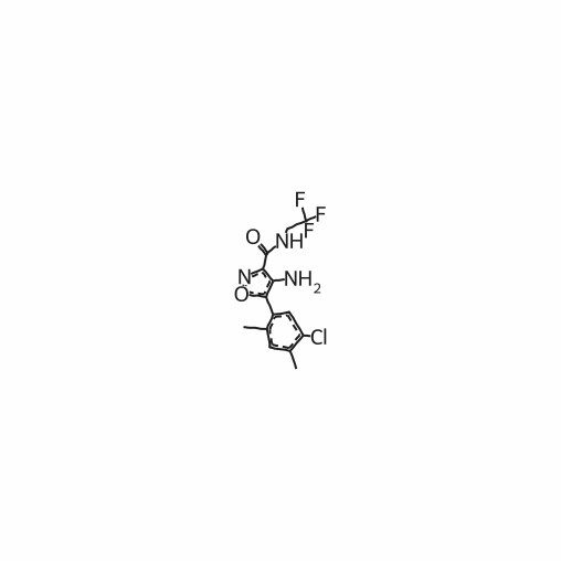 Cc1cc(C)c(-c2onc(C(=O)NCC(F)(F)F)c2N)cc1Cl